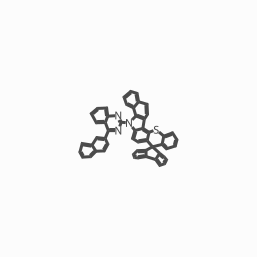 c1ccc2c(c1)Sc1c(ccc3c1c1ccc4ccccc4c1n3-c1nc(-c3ccc4ccccc4c3)c3ccccc3n1)C21c2ccccc2-c2ccccc21